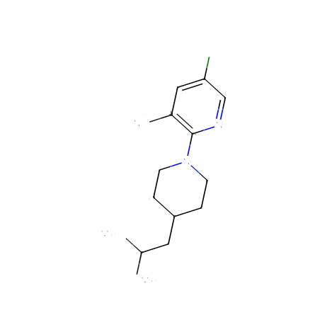 COC(CC1CCN(c2ncc(Br)cc2C#N)CC1)OC